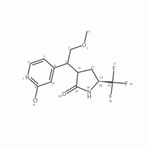 COCC(c1ccnc(Cl)c1)C1C[C@@H](C(F)(F)F)NC1=O